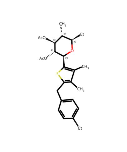 CCc1ccc(Cc2sc([C@@H]3O[C@H](CC)[C@@H](C)[C@H](OC(C)=O)[C@H]3OC(C)=O)c(C)c2C)cc1